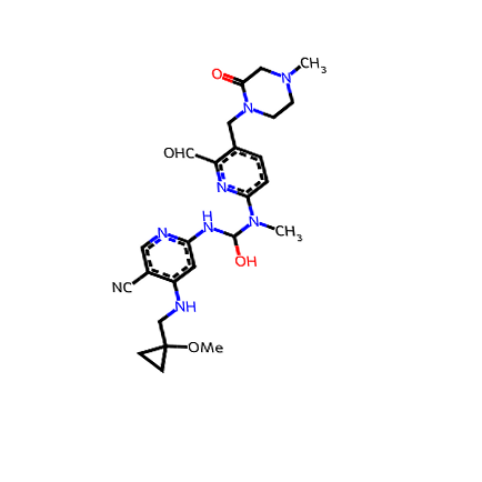 COC1(CNc2cc(NC(O)N(C)c3ccc(CN4CCN(C)CC4=O)c(C=O)n3)ncc2C#N)CC1